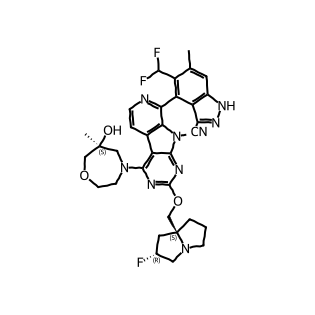 Cc1cc2[nH]nc(C#N)c2c(-c2nccc3c4c(N5CCOC[C@@](C)(O)C5)nc(OC[C@@]56CCCN5C[C@H](F)C6)nc4n(C)c23)c1C(F)F